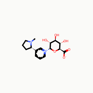 CN1CCC[C@H]1c1ccc[n+]([C@H]2O[C@H](C(=O)[O-])[C@@H](O)[C@H](O)[C@H]2O)c1